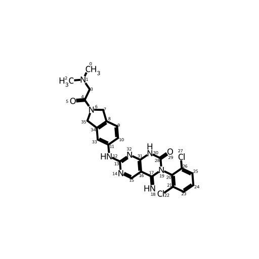 CN(C)CC(=O)N1Cc2ccc(Nc3ncc4c(=N)n(-c5c(Cl)cccc5Cl)c(=O)[nH]c4n3)cc2C1